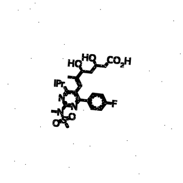 C/C(=C\c1c(-c2ccc(F)cc2)nc(N(C)S(C)(=O)=O)nc1C(C)C)[C@@H](O)C[C@@H](O)CC(=O)O